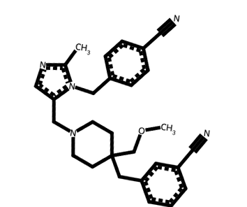 COCC1(Cc2cccc(C#N)c2)CCN(Cc2cnc(C)n2Cc2ccc(C#N)cc2)CC1